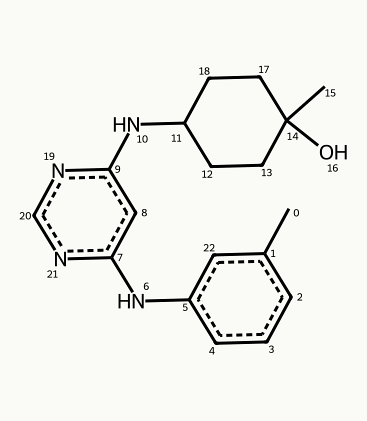 Cc1cccc(Nc2cc(NC3CCC(C)(O)CC3)ncn2)c1